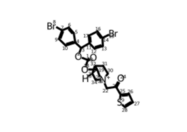 O=C(OC(c1ccc(Br)cc1)c1ccc(Br)cc1)O[C@H]1C[N+]2(CC(=O)c3cccs3)CCC1CC2